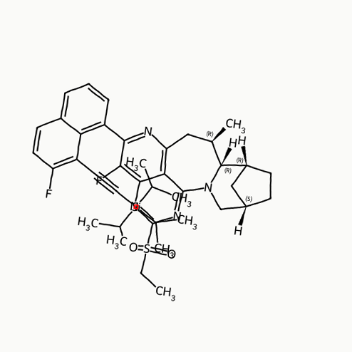 CCS(=O)(=O)c1nc2c3c(nc(-c4cccc5ccc(F)c(C#C[Si](C(C)C)(C(C)C)C(C)C)c45)c(F)c3n1)C[C@@H](C)[C@@H]1[C@@H]3CC[C@@H](C3)CN21